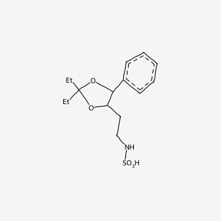 CCC1(CC)OC(CCNS(=O)(=O)O)C(c2ccccc2)O1